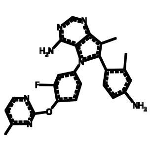 Cc1ccnc(Oc2ccc(-n3c(-c4ccc(N)cc4C)c(C)c4ncnc(N)c43)cc2F)n1